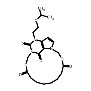 CC(C)OCCn1c(=S)n2c(=O)c3c1ccn3COC(=O)CCCCCCC(=O)OC2